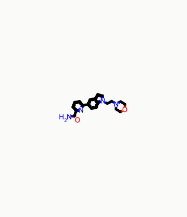 NC(=O)c1cccc(-c2ccc3c(ccn3CCN3CCOCC3)c2)n1